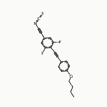 CCCCOc1ccc(C#Cc2c(F)cc(C#CN=C=S)cc2F)cc1